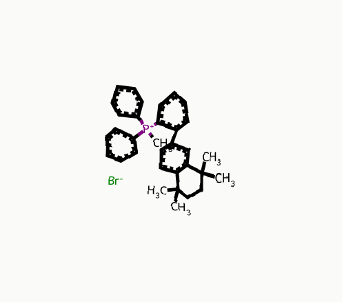 CC1(C)CCC(C)(C)c2cc(-c3ccccc3[P+](C)(c3ccccc3)c3ccccc3)ccc21.[Br-]